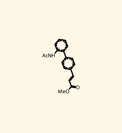 COC(=O)C=Cc1ccc(-c2ccccc2NC(C)=O)cc1